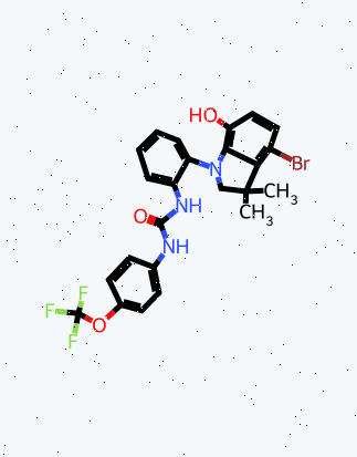 CC1(C)CN(c2ccccc2NC(=O)Nc2ccc(OC(F)(F)F)cc2)c2c(O)ccc(Br)c21